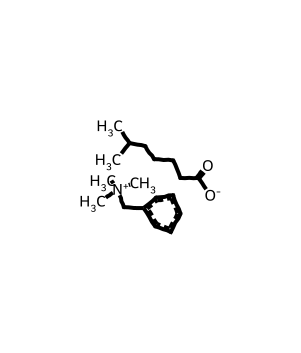 CC(C)CCCCC(=O)[O-].C[N+](C)(C)Cc1ccccc1